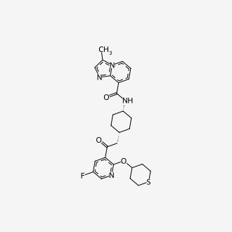 Cc1cnc2c(C(=O)N[C@H]3CC[C@@H](CC(=O)c4cc(F)cnc4OC4CCSCC4)CC3)cccn12